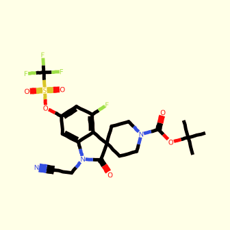 CC(C)(C)OC(=O)N1CCC2(CC1)C(=O)N(CC#N)c1cc(OS(=O)(=O)C(F)(F)F)cc(F)c12